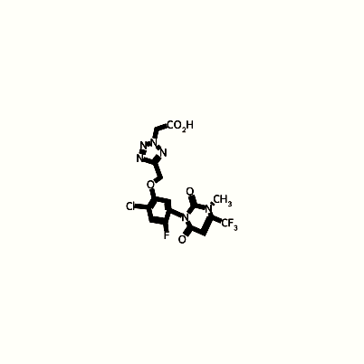 Cn1c(C(F)(F)F)cc(=O)n(-c2cc(OCc3nnn(CC(=O)O)n3)c(Cl)cc2F)c1=O